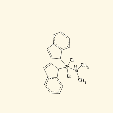 C[SiH](C)[Zr]([Cl])([Br])([CH]1C=Cc2ccccc21)[CH]1C=Cc2ccccc21